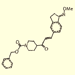 CON=C1CCc2cc(C=CC(=O)C3CCN(C(=O)OCc4ccccc4)CC3)ccc21